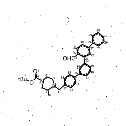 CC1CN(C(=O)OC(C)(C)C)CCN1Cc1ccc(-c2cccc(-c3cc(-c4ccccc4)ccc3C=O)c2)cc1